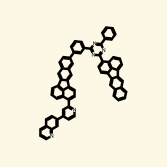 c1ccc(-c2nc(-c3cccc(-c4ccc5cc6c(cc5c4)-c4ccc(-c5cc(-c7ccc8cccnc8c7)ccn5)c5cccc-6c45)c3)nc(-c3ccc4c5c(cccc35)-c3cc5ccccc5cc3-4)n2)cc1